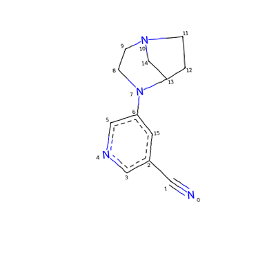 N#Cc1cncc(N2CCN3CCC2C3)c1